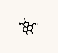 CC1COC2C3=C(C=C(F)C2Br)C(CO)CC(=O)N31